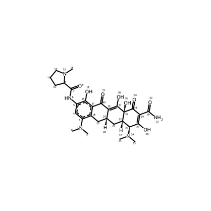 CN(C)c1cc(NC(=O)C2CCCN2C)c(O)c2c1C[C@H]1C[C@H]3[C@H](N(C)C)C(O)=C(C(N)=O)C(=O)[C@@]3(O)C(O)=C1C2=O